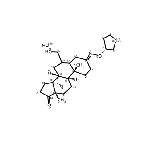 C[C@]12CCC(=NO[C@@H]3CCNC3)CC1C(CO)C[C@@H]1[C@H]2CC[C@]2(C)C(=O)CC[C@@H]12.Cl